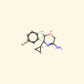 NC1=N[C@@](c2cccc(Br)c2)(C2CC2)C(F)OC1